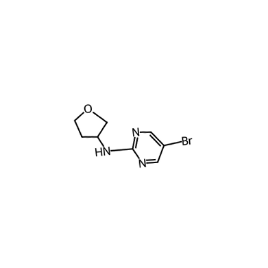 Brc1cnc(NC2CCOC2)nc1